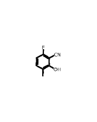 Cc1ccc(F)c(C#N)c1O